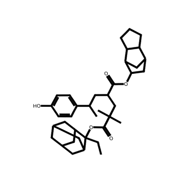 CCC1(OC(=O)C(C)(C)CC(CC(C)c2ccc(O)cc2)C(=O)OC2CC3CC2C2CCCC32)C2CC3CC(C2)CC1C3